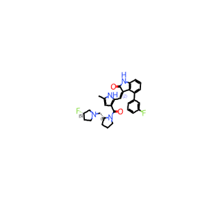 Cc1cc(C(=O)N2CCC[C@@H]2CN2CC[C@H](F)C2)c(/C=C2\C(=O)Nc3cccc(-c4cccc(F)c4)c32)[nH]1